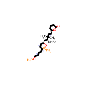 CC(=O)N[C@H](C[C@H](\C=C/C=C\C=C\COP)OPP)C(C)(C)/C=C/[C@H]1CC=CC(=O)O1